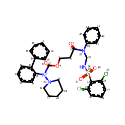 O=C(CCOC(=O)N(c1ccccc1-c1ccccc1)N1CC[CH]CC1)N(CNS(=O)(=O)c1c(Cl)cccc1Cl)c1ccccc1